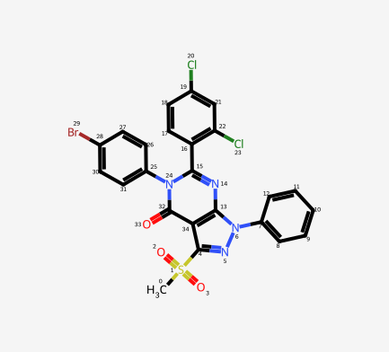 CS(=O)(=O)c1nn(-c2ccccc2)c2nc(-c3ccc(Cl)cc3Cl)n(-c3ccc(Br)cc3)c(=O)c12